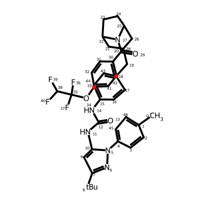 Cc1ccc(-n2nc(C(C)(C)C)cc2NC(=O)Nc2ccc(CC3CC4CCC(C3)N4C(=O)c3ccc(OC(F)(F)C(F)F)cc3)cc2)cc1